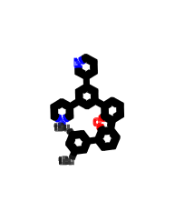 CC(C)(C)c1cc(-c2cccc3c2oc2c(-c4cc(-c5cccnc5)cc(-c5cccnc5)c4)cccc23)cc(C(C)(C)C)c1